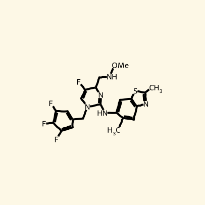 CONCC1N=C(Nc2cc3sc(C)nc3cc2C)N(Cc2cc(F)c(F)c(F)c2)C=C1F